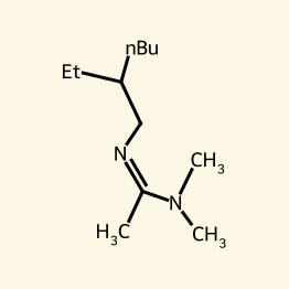 CCCCC(CC)CN=C(C)N(C)C